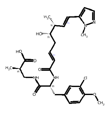 COc1ccc(C[C@@H](NC(=O)/C=C/C[C@H](O)[C@H](C)/C=C/c2ccnn2C)C(=O)NC[C@@H](C)C(=O)O)cc1Cl